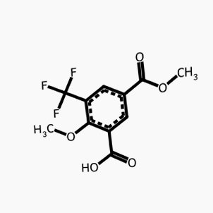 COC(=O)c1cc(C(=O)O)c(OC)c(C(F)(F)F)c1